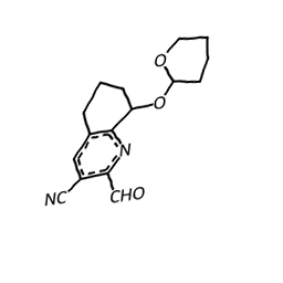 N#Cc1cc2c(nc1C=O)C(OC1CCCCO1)CCC2